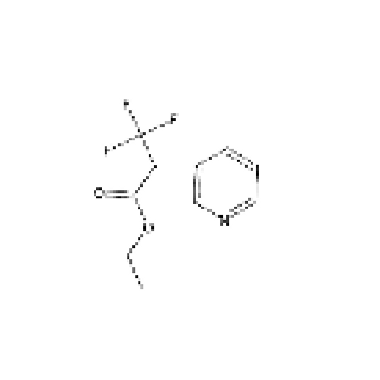 CCOC(=O)CC(F)(F)F.c1ccncc1